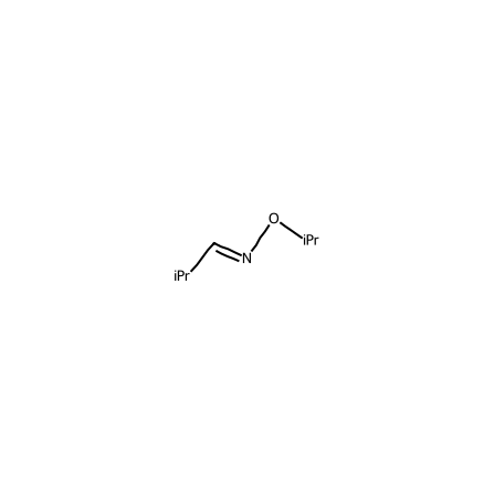 CC(C)/C=N/OC(C)C